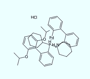 CC(C)Oc1cccc(OC(C)C)c1-c1ccccc1[PH]([Pd][c]1ccccc1-c1ccccc1N)(C1CCCCC1)C1CCCCC1.Cl